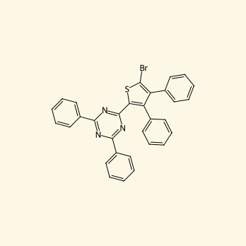 Brc1sc(-c2nc(-c3ccccc3)nc(-c3ccccc3)n2)c(-c2ccccc2)c1-c1ccccc1